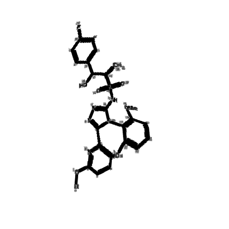 CCOc1cccc(-c2nnc(NS(=O)(=O)C(C)C(O)c3ccc(F)cc3)n2-c2c(OC)cccc2OC)n1